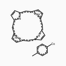 C1=Cc2cc3ccc(cc4nc(cc5ccc(cc1n2)[nH]5)C=C4)[nH]3.Cc1cc[c]([Co])cc1